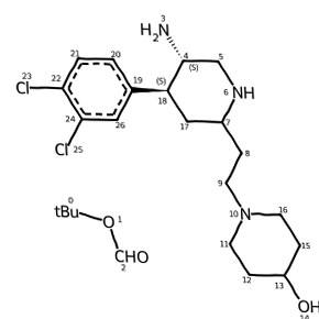 CC(C)(C)OC=O.N[C@@H]1CNC(CCN2CCC(O)CC2)C[C@H]1c1ccc(Cl)c(Cl)c1